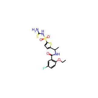 CCOc1ccc(F)cc1C(=O)NC(C)c1ccc(S(=O)(=O)NC(N)=S)s1